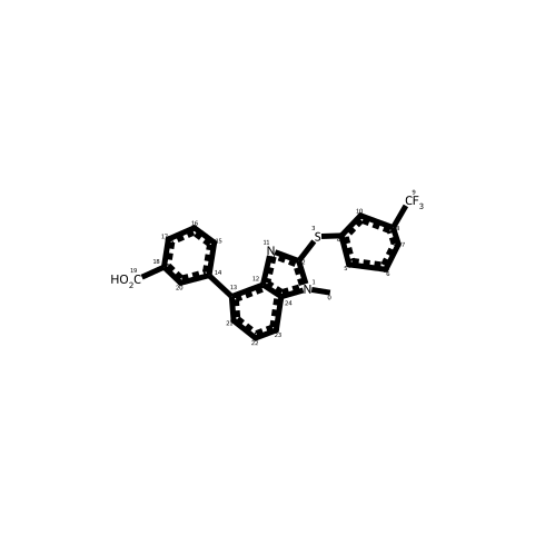 Cn1c(Sc2cccc(C(F)(F)F)c2)nc2c(-c3cccc(C(=O)O)c3)cccc21